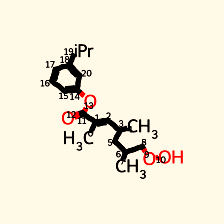 CC(=CC(C)CC(C)COO)C(=O)Oc1cccc(C(C)C)c1